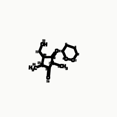 C1CCOOC1.CN1C(=O)C(CO)N(C)C1=O